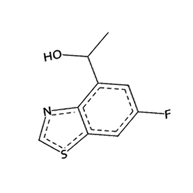 CC(O)c1cc(F)cc2scnc12